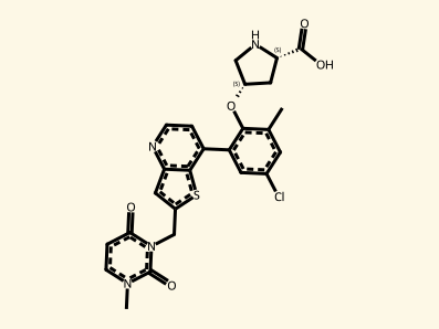 Cc1cc(Cl)cc(-c2ccnc3cc(Cn4c(=O)ccn(C)c4=O)sc23)c1O[C@@H]1CN[C@H](C(=O)O)C1